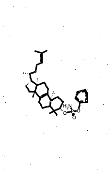 CC(C)=CCC[C@@H](C)[C@H]1CC[C@@]2(C)C3=C(CC[C@]12C)[C@@]1(C)CC[C@H](OP(N)(=O)Oc2ccccc2)C(C)(C)C1CC3